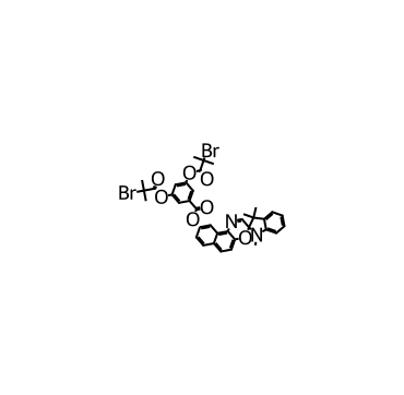 CN1c2ccccc2C(C)(C)C12C=Nc1c(ccc3ccc(OC(=O)c4cc(OC(=O)C(C)(C)Br)cc(OC(=O)C(C)(C)Br)c4)cc13)O2